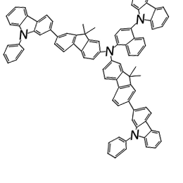 CC1(C)c2cc(-c3ccc4c5ccccc5n(-c5ccccc5)c4c3)ccc2-c2ccc(N(c3ccc4c(c3)C(C)(C)c3cc(-c5ccc6c7ccccc7n(-c7ccccc7)c6c5)ccc3-4)c3ccc(-n4c5ccccc5c5ccccc54)c4ccccc34)cc21